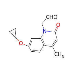 Cc1cc(=O)n(CC=O)c2cc(OC3CC3)ccc12